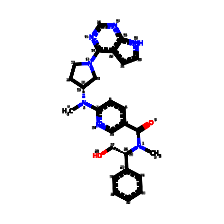 CN(C(=O)c1ccc(N(C)[C@@H]2CCN(c3ncnc4[nH]ccc34)C2)nc1)[C@@H](CO)c1ccccc1